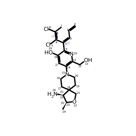 C=C/C=C(\C(Cl)=C(/C)Cl)c1nc(CO)c(N2CCC3(CC2)CO[C@@H](C)[C@H]3N)cc1O